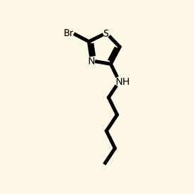 CCCCCNc1csc(Br)n1